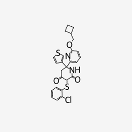 O=C1CC(c2ccsc2)(c2cccc(OCC3CCC3)n2)NC(=O)C1Sc1ccccc1Cl